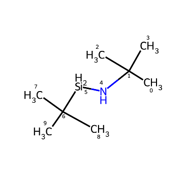 CC(C)(C)N[SiH2]C(C)(C)C